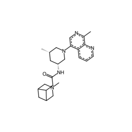 Cc1ncc(N2C[C@@H](C)C[C@@H](NC(=O)CC3C4CC3CN(C)C4)C2)c2cccnc12